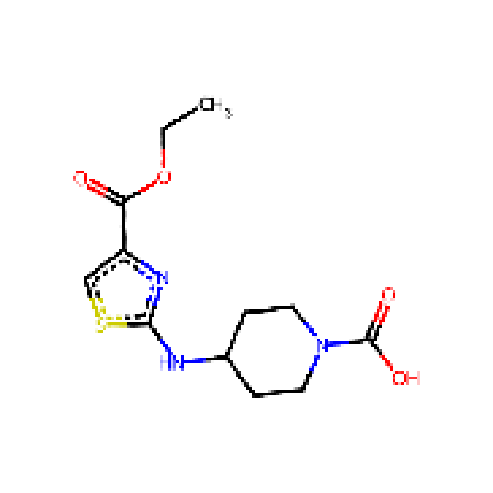 CCOC(=O)c1csc(NC2CCN(C(=O)O)CC2)n1